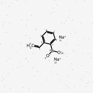 C=Cc1ccccc1B([O-])[O-].[Na+].[Na+]